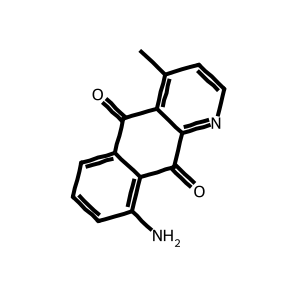 Cc1ccnc2c1C(=O)c1cccc(N)c1C2=O